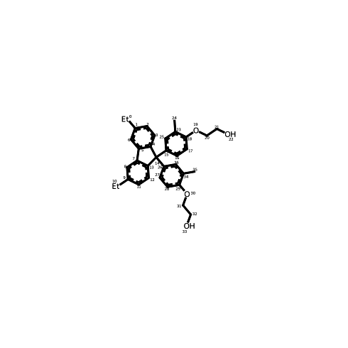 CCc1ccc2c(c1)-c1cc(CC)ccc1C2(c1ccc(OCCO)c(C)c1)c1ccc(OCCO)c(C)c1